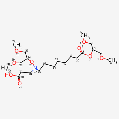 COCC(COC)OC(=O)CCCCCCCN(CCC(=O)O)OC(COC)COC